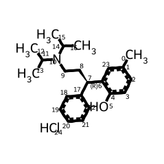 Cc1ccc(O)c([C@H](CCN(C(C)C)C(C)C)c2ccccc2)c1.Cl